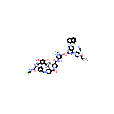 C=CC(=O)N1CCN(c2nc(OC[C@@H]3CC(NC(=O)C4CCN(C(=O)C5CCN(Cc6ccc(-n7c(C(=O)NCC(F)(F)F)nnc7-c7cc(C(C)C)c(O)cc7O)cc6)CC5)CC4)CN3C)nc3c2CCN(c2cccc4cccc(Cl)c24)C3)C[C@@H]1CC#N